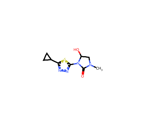 CN1CC(O)N(c2nnc(C3CC3)s2)C1=O